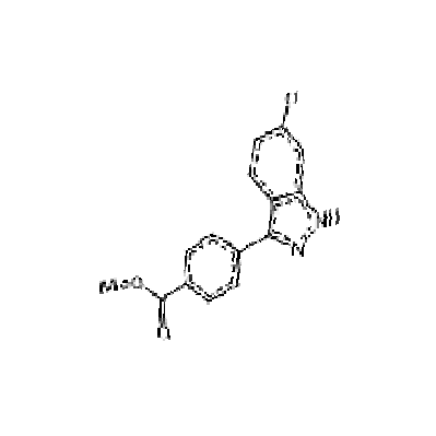 COC(=O)c1ccc(-c2n[nH]c3cc(Cl)ccc23)cc1